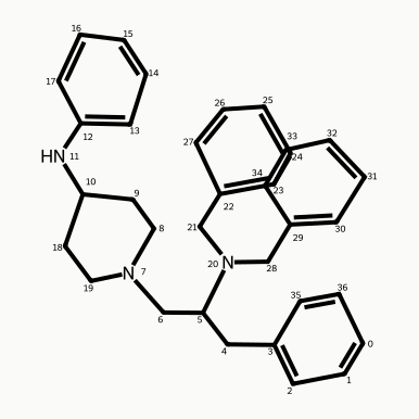 c1ccc(CC(CN2CCC(Nc3ccccc3)CC2)N(Cc2ccccc2)Cc2ccccc2)cc1